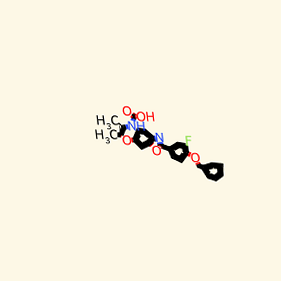 CC(Oc1ccc2nc(-c3ccc(OCc4ccccc4)c(F)c3)oc2c1)[C@H](C)NC(=O)O